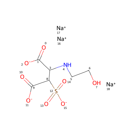 O=C([O-])C(NCCO)C(C(=O)[O-])S(=O)(=O)[O-].[Na+].[Na+].[Na+]